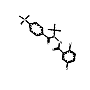 CC(C)(C)N(NC(=O)c1cc(Cl)ccc1Cl)C(=O)c1ccc([Si](C)(C)C)cc1